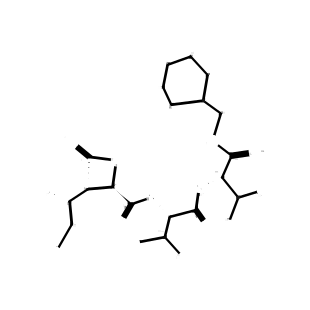 CC[C@H](C)[C@@H]1C(=O)O[C@H]1C(=O)N[C@H](C(=O)N[C@H](C(=O)OCC1CCCCC1)C(C)C)C(C)C